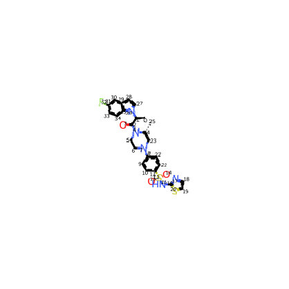 CC(C(=O)N1CCN(c2ccc(S(=O)(=O)Nc3nccs3)cc2)C[C@H]1C)n1ccc2cc(F)ccc21